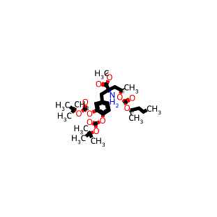 CCC[C@H](C)OC(=O)O[C@@H](C)CC(N)(Cc1ccc(OC(=O)OC(C)(C)C)c(OC(=O)OC(C)(C)C)c1)C(=O)OC